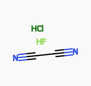 Cl.F.N#CC#N